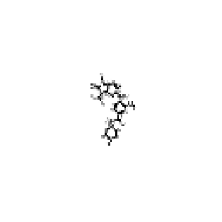 COc1cc(C(=O)NC2CCN(C)CC2)ccc1Nc1ncc2c(n1)n(C(C)C)c(=O)n2C